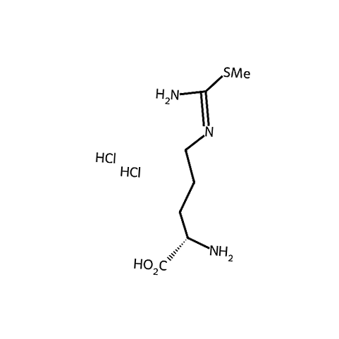 CSC(N)=NCCC[C@H](N)C(=O)O.Cl.Cl